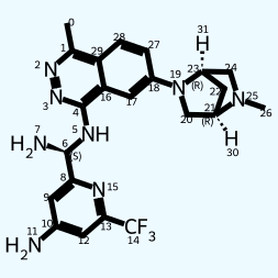 Cc1nnc(N[C@H](N)c2cc(N)cc(C(F)(F)F)n2)c2cc(N3C[C@H]4C[C@@H]3CN4C)ccc12